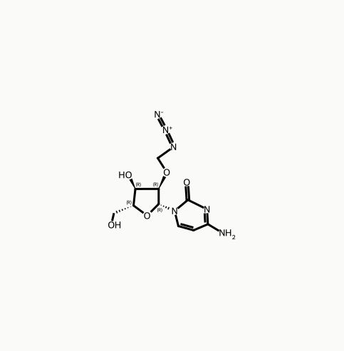 [N-]=[N+]=NCO[C@@H]1[C@H](O)[C@@H](CO)O[C@H]1n1ccc(N)nc1=O